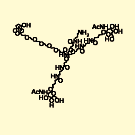 CC(=O)NC1C(OCCCCC(=O)NCCCNC(=O)CCOCC(COCCC(=O)NCCCN)(COCCC(=O)NCCCNC(=O)CCCCOC2OC(CO)C(O)C(O)C2NC(C)=O)NC(=O)CCOCCOCCOCCOCCOCCC(=O)ON2C(=O)CCC2O)OC(CO)C(O)C1O